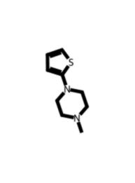 CN1CCN(c2cccs2)CC1